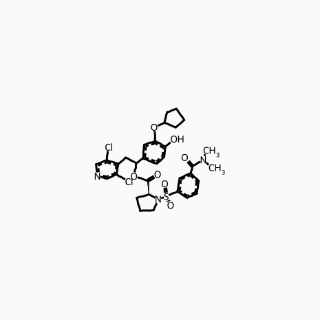 CN(C)C(=O)c1cccc(S(=O)(=O)N2CCC[C@H]2C(=O)OC(Cc2c(Cl)cncc2Cl)c2ccc(O)c(OC3CCCC3)c2)c1